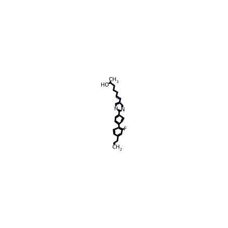 C=CCc1ccc(-c2ccc(-c3ncc(/C=C/CCCC(C)O)cn3)cc2)c(F)c1